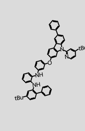 CC(C)(C)c1ccnc(-n2c3ccc(-c4ccccc4)cc3c3ccc(Oc4cccc(Nc5ccccc5Nc5cc(C(C)(C)C)ccc5-c5ccccc5)c4)cc32)c1